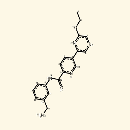 CCOc1cncc(-c2ccc(C(=O)Nc3cccc(CN)c3)nc2)n1